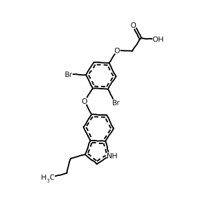 CCCc1c[nH]c2ccc(Oc3c(Br)cc(OCC(=O)O)cc3Br)cc12